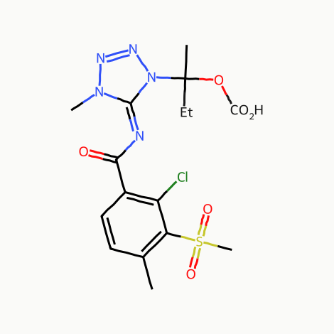 CCC(C)(OC(=O)O)n1nnn(C)c1=NC(=O)c1ccc(C)c(S(C)(=O)=O)c1Cl